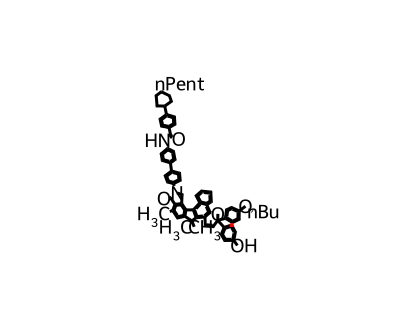 CCCCCC1CCC(c2ccc(C(=O)Nc3ccc(-c4ccc(N5Cc6c(c(C)cc7c6-c6c(c8c(c9ccccc69)OC(c6ccc(O)cc6)(c6ccc(OCCCC)cc6)C=C8)C7(C)C)C5=O)cc4)cc3)cc2)CC1